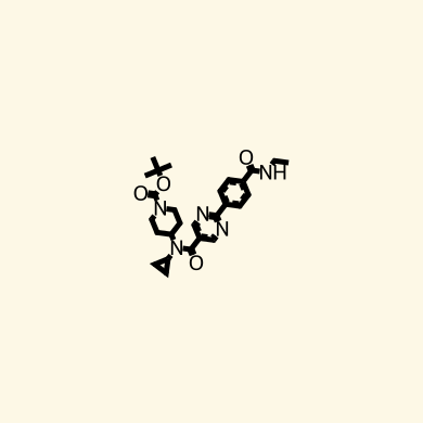 CCNC(=O)c1ccc(-c2ncc(C(=O)N(C3CC3)C3CCN(C(=O)OC(C)(C)C)CC3)cn2)cc1